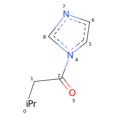 CC(C)CC(=O)n1ccnc1